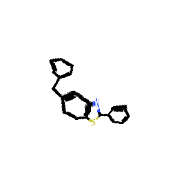 c1ccc(Cc2ccc3sc(-c4ccccc4)nc3c2)cc1